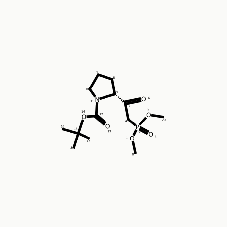 COP(=O)(CC(=O)[C@H]1CCCN1C(=O)OC(C)(C)C)OC